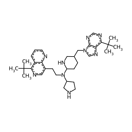 CC(C)(C)c1ncc(CCN(C2CCNC2)C2CCC(Cn3cnc4c(C(C)(C)C)ncnc43)CN2)c2ncccc12